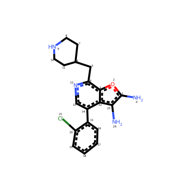 Nc1oc2c(CC3CCNCC3)ncc(-c3ccccc3Cl)c2c1N